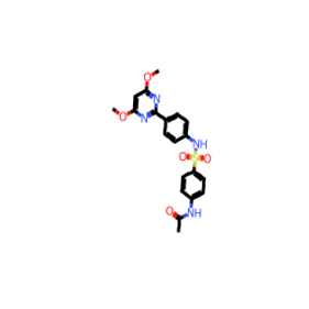 COc1cc(OC)nc(-c2ccc(NS(=O)(=O)c3ccc(NC(C)=O)cc3)cc2)n1